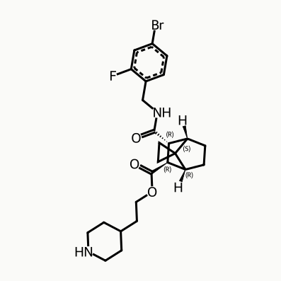 O=C(OCCC1CCNCC1)[C@H]1[C@H](C(=O)NCc2ccc(Br)cc2F)[C@@H]2CC[C@H]1C21CC1